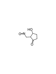 O=NCC1C(=O)CCC1O